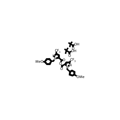 CC(C)(C)C(=O)O.CC(C)(C)C(=O)O.COc1ccc(Cn2nc(C(F)(F)F)cc2C(=O)OC(=O)c2cc(C(F)(F)F)nn2Cc2ccc(OC)cc2)cc1